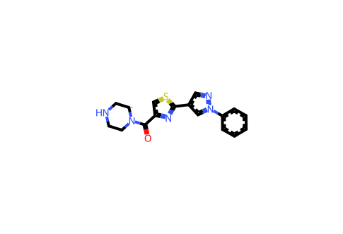 O=C(c1csc(-c2cnn(-c3ccccc3)c2)n1)N1[CH]CNCC1